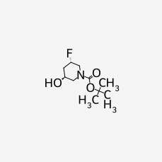 CC(C)(C)OC(=O)N1C[C@@H](O)C[C@H](F)C1